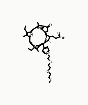 CCC1=C(C)c2cc3[nH]c(c(C)c3CC)c(-c3cc[n+](CCOCCOCCOC)cc3)c3nc(c4c5[nH]c(cc1n2)c(C)c5C(=O)C4)[C@@H](CCC(=O)O)[C@@H]3C